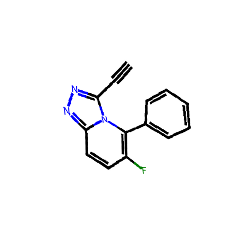 C#Cc1nnc2ccc(F)c(-c3ccccc3)n12